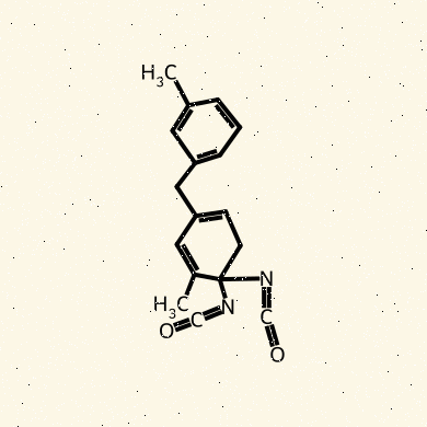 CC1=CC(Cc2cccc(C)c2)=CCC1(N=C=O)N=C=O